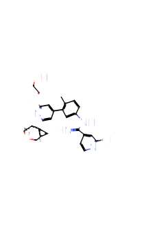 Cc1ccc(NC(=N)c2ccnc(C(F)(F)F)c2)cc1-c1cc(OCCO)nc([C@@]23CCOC[C@]2(C#N)C3)c1